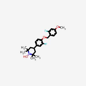 COc1ccc(COc2ccc(C3CC(C)(C)N(O)C(C)(C)C3)cc2F)c(F)c1